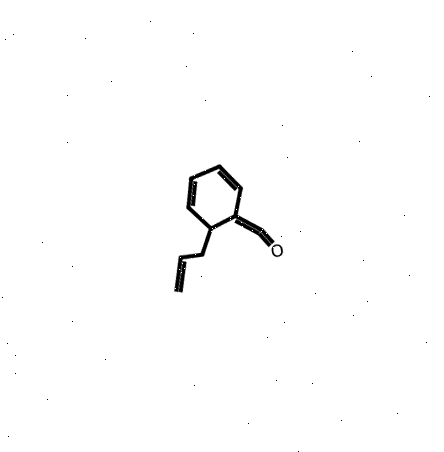 C=CCC1C=CC=CC1=C=O